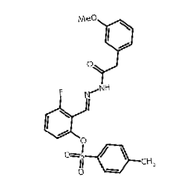 COc1cccc(CC(=O)NN=Cc2c(F)cccc2OS(=O)(=O)c2ccc(C)cc2)c1